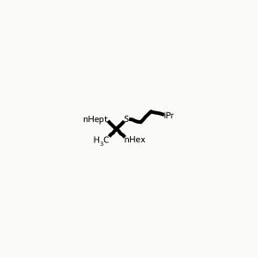 CCCCCCCC(C)(CCCCCC)SCCC(C)C